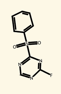 O=S(=O)(c1ccccc1)c1n[c]nc(F)n1